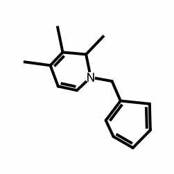 CC1=C(C)C(C)N(Cc2ccccc2)C=C1